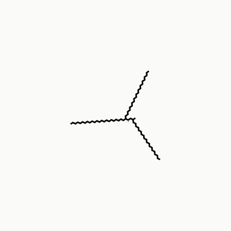 CCCCCCCCCCCCCCCCCCCCCCCC([CH]CC(C)CCCCCCCCCCCCCCCCCCCC)CCCCCCCCCCCCCCCCCCCCCC